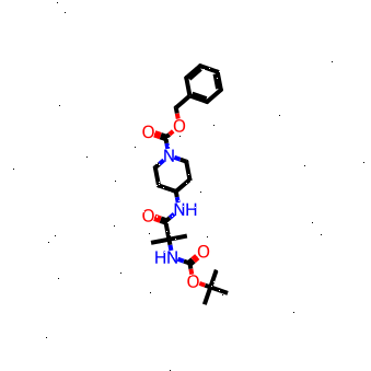 CC(C)(C)OC(=O)NC(C)(C)C(=O)NC1CCN(C(=O)OCc2ccccc2)CC1